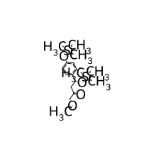 COCC(=O)CC(O[Si](C)(C)C)c1ccc(O[Si](C)(C)C)cc1